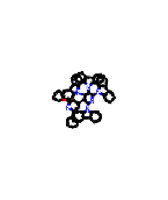 c1ccc(-c2cc(-c3c(-n4c5ccccc5c5ccccc54)nc(-n4c5ccccc5c5ccccc54)c(-n4c5ccccc5c5ccccc54)c3-n3c4ccccc4c4ccccc43)cc(-c3ccccc3)n2)cc1